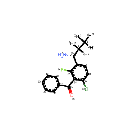 [2H]C([2H])([2H])C([2H])([2H])[C@@H](N)c1ccc(Cl)c(C(=O)c2ccccc2)c1F